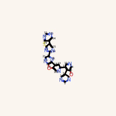 c1ncc2c(n1)oc1cncc(-c3cc4c(cn3)oc3ncc(-c5ncc6c(n5)sc5ncncc56)nc34)c12